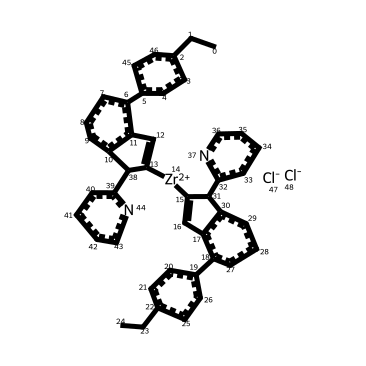 CCc1ccc(-c2cccc3c2C=[C]([Zr+2][C]2=Cc4c(-c5ccc(CC)cc5)cccc4C2c2ccccn2)C3c2ccccn2)cc1.[Cl-].[Cl-]